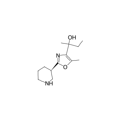 CCC(C)(O)c1nc([C@@H]2CCCNC2)oc1C